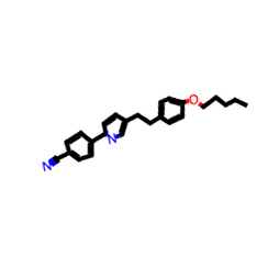 CCCCCOc1ccc(CCc2ccc(-c3ccc(C#N)cc3)nc2)cc1